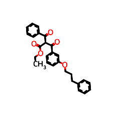 CCOC(=O)C(C(=O)c1ccccc1)C(=O)c1cccc(OCCCc2ccccc2)c1